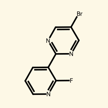 Fc1ncccc1-c1ncc(Br)cn1